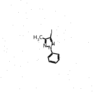 Cc1nn(-c2ccccc2)nc1I